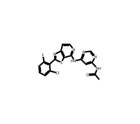 CC(=O)Nc1cc(Nc2nccc3nc(-c4c(F)cccc4Cl)sc23)ncn1